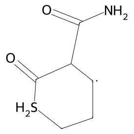 NC(=O)C1[CH]CC[SH2]C1=O